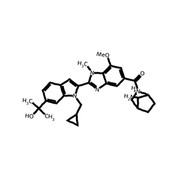 COc1cc(C(=O)N2CC3CCC2[C@@H]3N)cc2nc(-c3cc4ccc(C(C)(C)O)cc4n3CC3CC3)n(C)c12